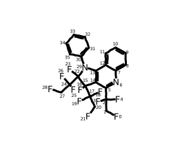 FCC(F)(F)c1nc2ccccc2c2c1C(F)(C(F)(F)CF)C(F)(C(F)(F)CF)N2c1ccccc1